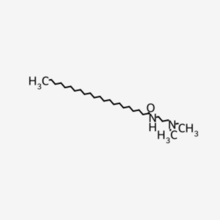 CCCCCCCCCCCCCCCCCCCCCC(=O)NCCCN(CC)CC